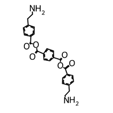 NCCc1ccc(C(=O)OC(=O)c2ccc(C(=O)OC(=O)c3ccc(CCN)cc3)cc2)cc1